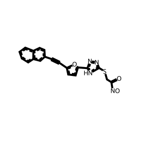 O=NC(=O)CSc1nnc(-c2ccc(C#Cc3ccc4ccccc4c3)o2)[nH]1